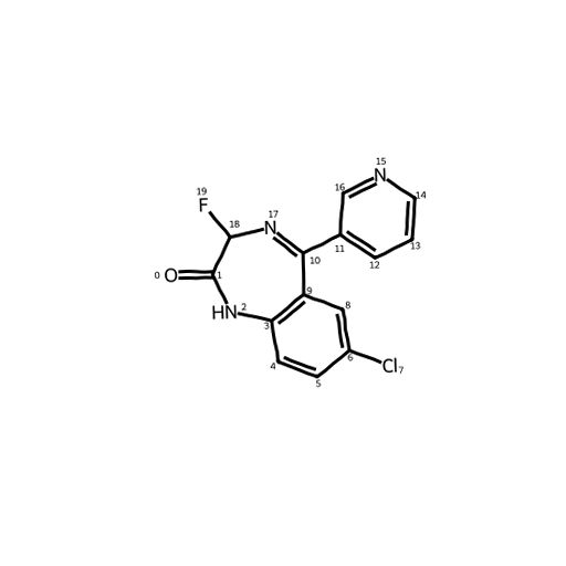 O=C1Nc2ccc(Cl)cc2C(c2cccnc2)=NC1F